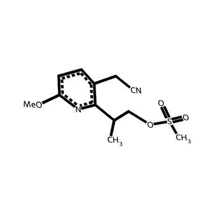 COc1ccc(CC#N)c(C(C)COS(C)(=O)=O)n1